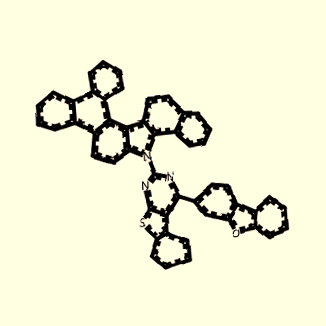 c1ccc2c(c1)ccc1c3c4c5ccccc5c5ccccc5c4ccc3n(-c3nc(-c4ccc5c(c4)oc4ccccc45)c4c(n3)sc3ccccc34)c21